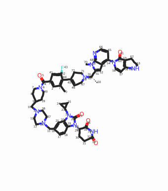 Cc1cc(C(=O)N2CCC(CN3CCN(Cc4ccc5c(c4)n(C4CC4)c(=O)n5[C@H]4CCC(=O)NC4=O)CC3)CC2)cc(F)c1C1=CCN([C@@H](C)c2cc3c(-n4ccc5c(c4=O)CCN5)ccnc3n2C)CC1